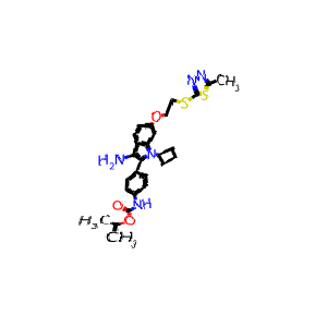 Cc1nnc(SCCOc2ccc3c(N)c(-c4ccc(NC(=O)OC(C)C)cc4)n(C4CCC4)c3c2)s1